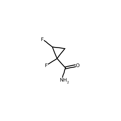 NC(=O)C1(F)CC1F